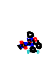 Cc1ccccc1C(C(=O)NC1CCCCC1)N(C(=O)CNS(=O)(=O)N1CC1)c1cc(F)cc(F)c1